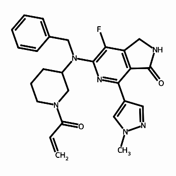 C=CC(=O)N1CCCC(N(Cc2ccccc2)c2nc(-c3cnn(C)c3)c3c(c2F)CNC3=O)C1